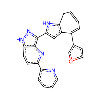 C1=CCc2[nH]c(-c3n[nH]c4ccc(-c5ccccn5)nc34)cc2C(c2ccoc2)=C1